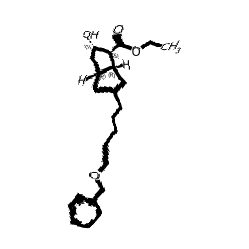 CCOC(=O)[C@H]1[C@@H]2CC(CCCCCOCc3ccccc3)=C[C@@H]2C[C@@H]1O